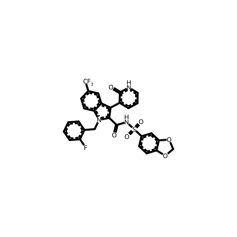 O=C(NS(=O)(=O)c1ccc2c(c1)OCO2)c1c(-c2ccc[nH]c2=O)c2cc(C(F)(F)F)ccc2n1Cc1ccccc1F